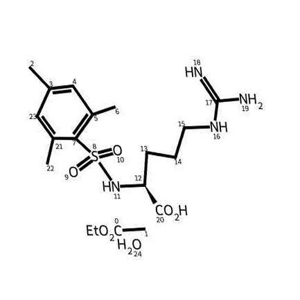 CCOC(C)=O.Cc1cc(C)c(S(=O)(=O)N[C@@H](CCCNC(=N)N)C(=O)O)c(C)c1.O